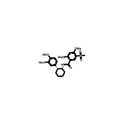 COc1ccc([C@H]2CCCC[C@H]2NC(=O)c2cc(S(C)(=O)=O)c(OC)cc2OC)cc1OC